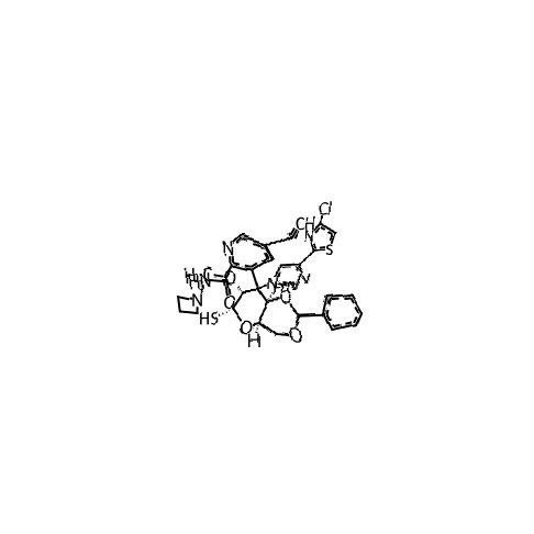 C#Cc1cnc(C(=O)NN2CCC2)c(C2(n3cc(-c4nc(Cl)cs4)nn3)[C@@H](OC)[C@@H](S)O[C@@H]3COC(c4ccccc4)O[C@@H]32)c1